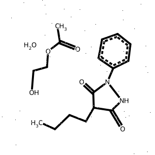 CC(=O)OCCO.CCCCC1C(=O)NN(c2ccccc2)C1=O.O